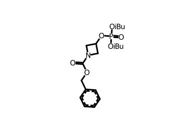 CC(C)COP(=O)(OCC(C)C)OC1CN(C(=O)OCc2ccccc2)C1